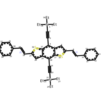 CC[Si](C#Cc1c2cc(/C=C/c3ccccc3)sc2c(C#C[Si](CC)(CC)CC)c2cc(/C=C/c3ccccc3)sc12)(CC)CC